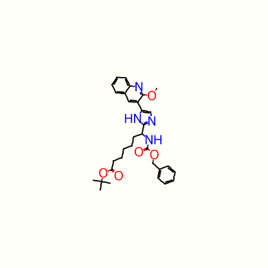 COc1nc2ccccc2cc1-c1cnc(C(CCCCCC(=O)OC(C)(C)C)NC(=O)OCc2ccccc2)[nH]1